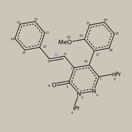 CCCc1nn(C(C)C)c(=O)c(/C=C/c2ccccc2)c1-c1ccccc1OC